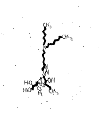 CCCCCCCN(CCCCCCC)CCCCCc1cn([C@@H](COC[C@H](O)[C@@H](O)CO)[C@H](O)[C@H](O)CC)nn1